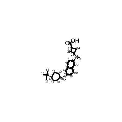 CN(c1ccc2cc(O[C@H]3CC[C@H](C(C)(C)C)CC3)ccc2c1)C1CC(C(=O)O)C1